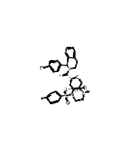 Cc1ccc(S(=O)(=O)N2CCN(C)[C@H]3CO[C@@H](C(=O)N4CCc5ccccc5[C@@H]4c4ccc(F)cc4)C[C@@H]32)cc1